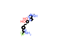 CNc1ncnc2c1ccn2[C@@H]1C[C@H](CCc2ccc3cc(C(F)(F)F)c(N)nc3c2)C(O)[C@H]1O